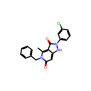 Cc1c2c(=O)n(-c3cccc(Cl)c3)[nH]c2cc(=O)n1Cc1ccccc1